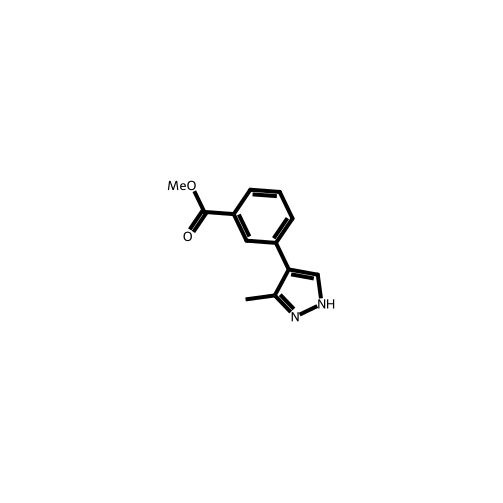 COC(=O)c1cccc(-c2c[nH]nc2C)c1